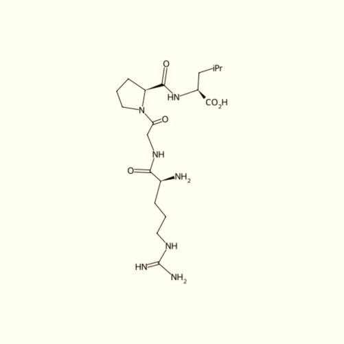 CC(C)C[C@H](NC(=O)[C@@H]1CCCN1C(=O)CNC(=O)[C@@H](N)CCCNC(=N)N)C(=O)O